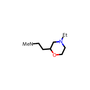 CCN1CCOC(CCNC)C1